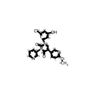 COc1ccc(-c2cn(-c3cc(O)cc(Cl)c3)c(=O)n(-c3cccnc3)c2=O)cn1